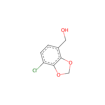 OCc1ccc(Cl)c2c1OCO2